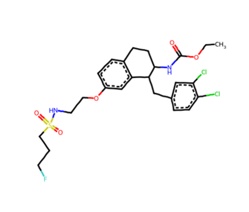 CCOC(=O)NC1CCc2ccc(OCCNS(=O)(=O)CCCF)cc2C1Cc1ccc(Cl)c(Cl)c1